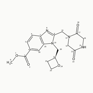 COC(=O)c1ccc2nc(CN3CC(=O)NCC3=O)n(C[C@@H]3CCO3)c2c1